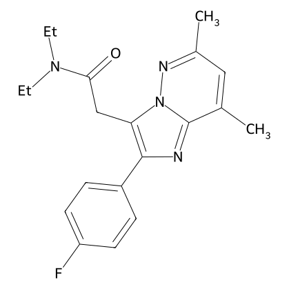 CCN(CC)C(=O)Cc1c(-c2ccc(F)cc2)nc2c(C)cc(C)nn12